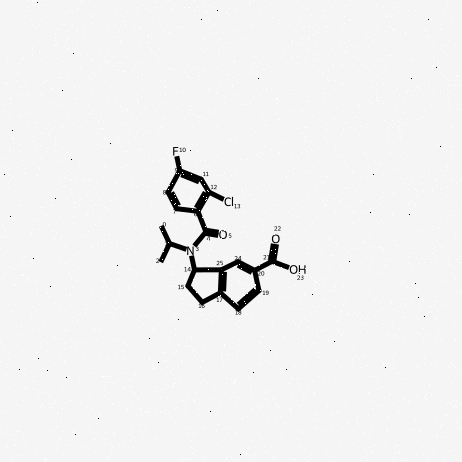 CC(C)N(C(=O)c1ccc(F)cc1Cl)C1CCc2ccc(C(=O)O)cc21